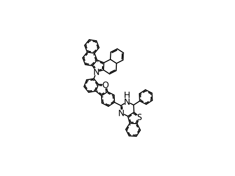 C1=CC2C=Cc3c(c4c5ccccc5ccc4n3-c3cccc4c3oc3cc(C5=Nc6c(sc7ccccc67)C(c6ccccc6)N5)ccc34)C2C=C1